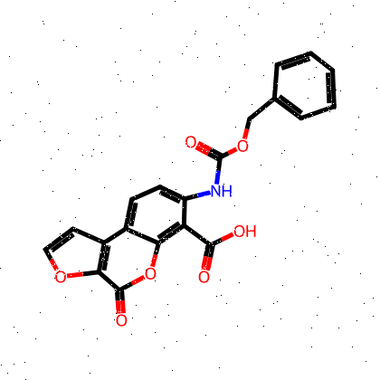 O=C(Nc1ccc2c(oc(=O)c3occc32)c1C(=O)O)OCc1ccccc1